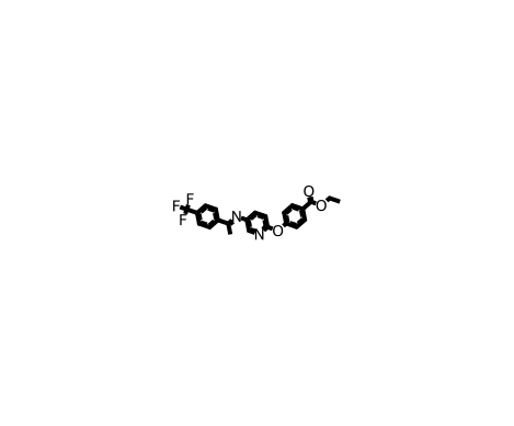 CCOC(=O)c1ccc(Oc2ccc(/N=C(\C)c3ccc(C(F)(F)F)cc3)cn2)cc1